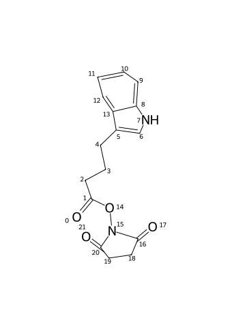 O=C(CCCc1c[nH]c2ccccc12)ON1C(=O)CCC1=O